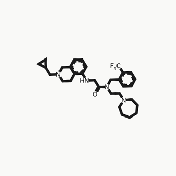 O=C(CNc1cccc2c1CCN(CC1CC1)C2)N(CCN1CCCCCC1)Cc1ccccc1C(F)(F)F